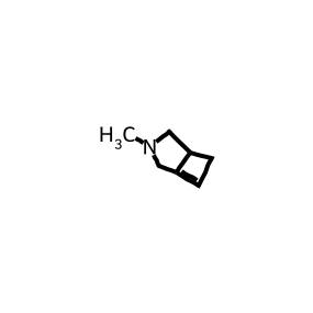 CN1CC2=CCC2C1